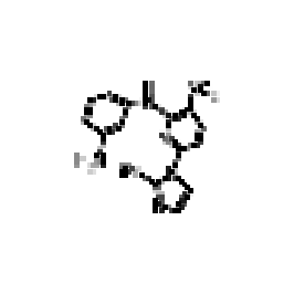 CC(C)c1nccn1-c1ccc([N+](=O)[O-])c(Nc2cccc(N)c2)n1